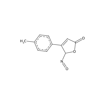 Cc1ccc(C2=CC(=O)OC2N=O)cc1